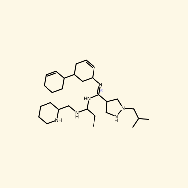 CCC(NCC1CCCCN1)N/C(=N\C1C=CCC(C2C=CCCC2)C1)C1CNN(CC(C)C)C1